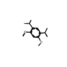 COc1cc(OC)c(C(C)C)cc1C(C)C